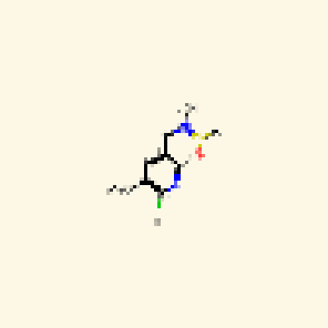 COc1cc(C[N+](C#N)=S(C)[O-])cnc1Cl